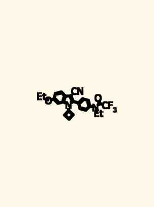 CCOc1ccc2c(C#N)c(-c3ccc(N(CC)C(=O)C(F)(F)F)cc3)n(C3CCC3)c2c1